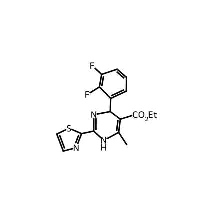 CCOC(=O)C1=C(C)NC(c2nccs2)=NC1c1cccc(F)c1F